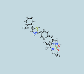 O=S1(=O)N[C@@]2(CN1CC(F)(F)F)[C@@H]1CC[C@H]2Cc2ccc(-c3ncc(-c4ccccc4C(F)(F)F)s3)cc2C1